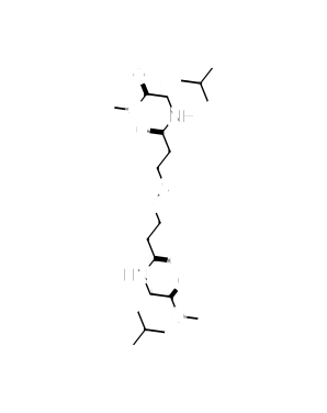 COC(=O)[C@H](CC(C)C)NC(=O)CCSSCCC(=O)N[C@@H](CC(C)C)C(=O)OC